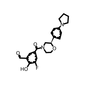 O=Cc1cc(C(=O)N2CCO[C@H](c3ccc(N4CCCC4)cc3)C2)cc(F)c1O